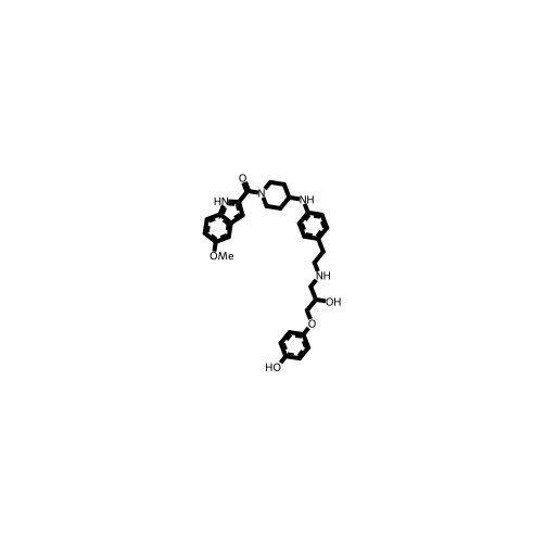 COc1ccc2[nH]c(C(=O)N3CCC(Nc4ccc(CCNCC(O)COc5ccc(O)cc5)cc4)CC3)cc2c1